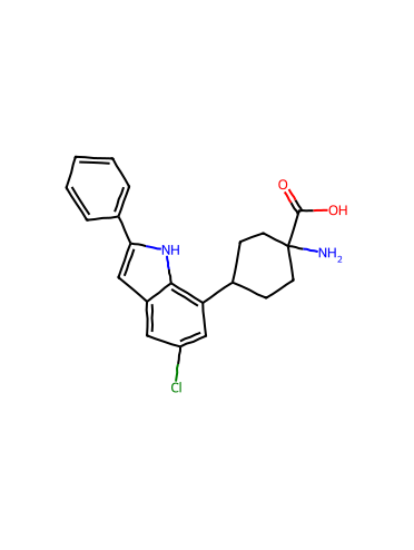 NC1(C(=O)O)CCC(c2cc(Cl)cc3cc(-c4ccccc4)[nH]c23)CC1